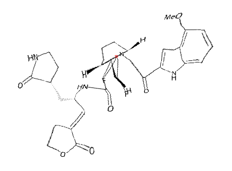 COc1cccc2[nH]c(C(=O)N3[C@H]4CC[C@@H]([C@H]3C(=O)N[C@H](/C=C3\CCOC3=O)C[C@H]3CCNC3=O)C(F)(F)C4)cc12